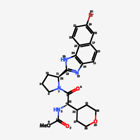 COC(=O)N[C@H](C(=O)N1CCC[C@H]1c1nc2ccc3cc(Br)ccc3c2[nH]1)C1CCOCC1